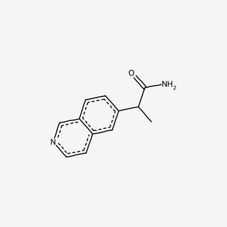 CC(C(N)=O)c1ccc2cnccc2c1